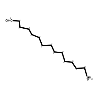 O=CCCCCCCCCCCCCC[SiH3]